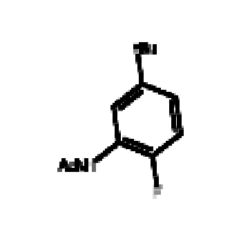 CC(=O)Nc1cc(C(C)(C)C)ccc1F